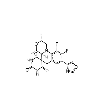 C[C@@H]1CN2c3c(cc(-c4cocn4)c(F)c3F)CC3(C(=O)NC(=O)NC3=O)[C@H]2[C@H](C)O1